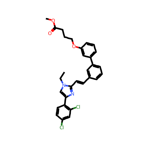 CCn1cc(-c2ccc(Cl)cc2Cl)nc1C=Cc1cccc(-c2cccc(OCCCC(=O)OC)c2)c1